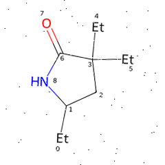 [CH2]CC1CC(CC)(CC)C(=O)N1